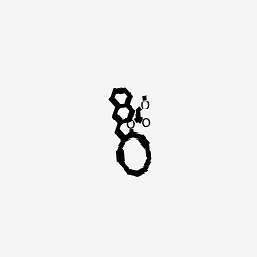 COCC(=O)OC1C#CCCCCC#CC1=Cc1ccc2ccccc2c1